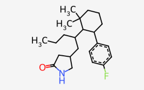 CCCC(CC1CNC(=O)C1)C1C(c2ccc(F)cc2)CCCC1(C)C